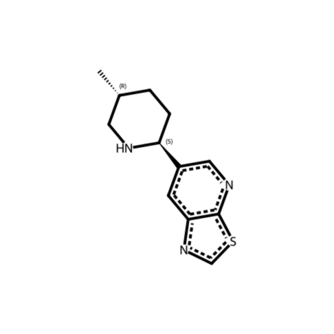 C[C@@H]1CC[C@@H](c2cnc3scnc3c2)NC1